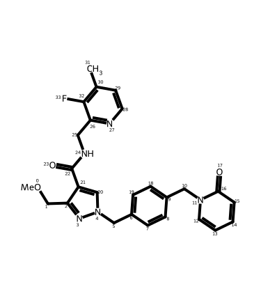 COCc1nn(Cc2ccc(Cn3ccccc3=O)cc2)cc1C(=O)NCc1nccc(C)c1F